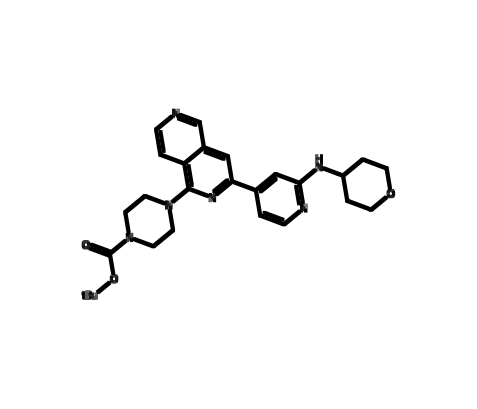 CC(C)(C)OC(=O)N1CCN(c2nc(-c3ccnc(NC4CCOCC4)c3)cc3cnccc23)CC1